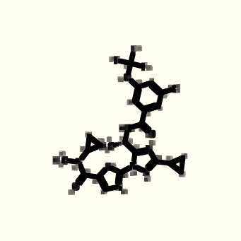 C[C@H](NC(=O)c1cc(Cl)cc(OC(F)(F)F)c1)c1nc(C2CC2)nn1-c1ncc(C(=O)N(C)C2CC2)s1